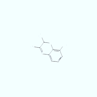 Cc1cccc2c1OC(C)C(N)=N2